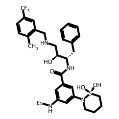 CCNc1cc(C(=O)N[C@@H](Cc2ccccc2)[C@@H](O)CNCc2cc(C(F)(F)F)ccc2C)cc(N2CCCCS2(O)O)c1